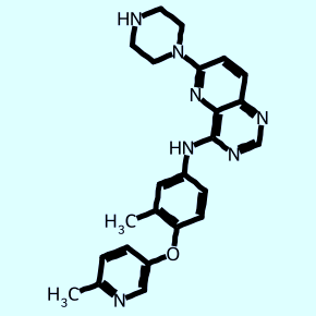 Cc1ccc(Oc2ccc(Nc3ncnc4ccc(N5CCNCC5)nc34)cc2C)cn1